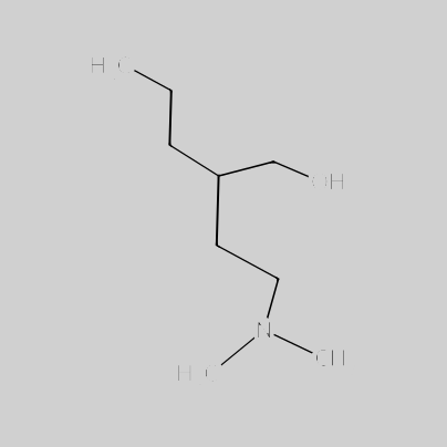 CCCC(CO)CCN(C)C